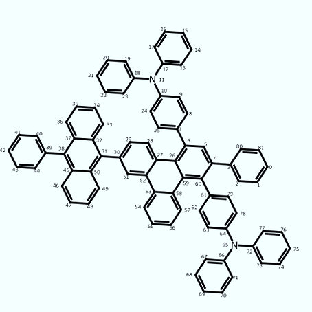 c1ccc(-c2cc(-c3ccc(N(c4ccccc4)c4ccccc4)cc3)c3c4ccc(-c5c6ccccc6c(-c6ccccc6)c6ccccc56)cc4c4ccccc4c3c2-c2ccc(N(c3ccccc3)c3ccccc3)cc2)cc1